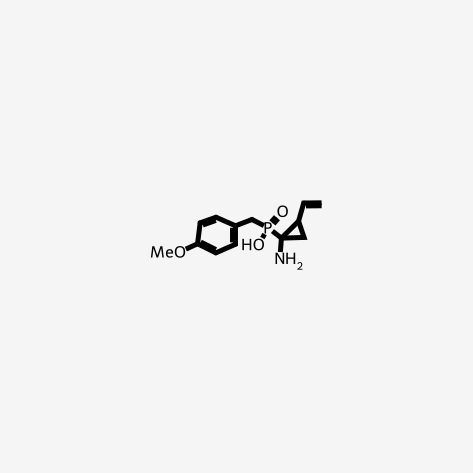 C=CC1CC1(N)P(=O)(O)Cc1ccc(OC)cc1